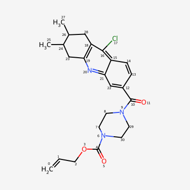 C=CCOC(=O)N1CCN(C(=O)c2ccc3c(Cl)c4c(nc3c2)CC(C)C(C)C4)CC1